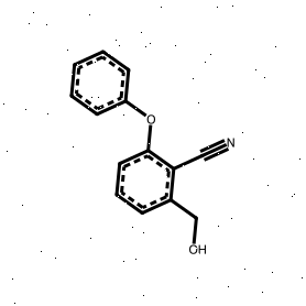 N#Cc1c(CO)cccc1Oc1ccccc1